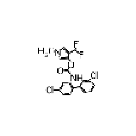 Cn1cc(OC(=O)Nc2cc(Cl)ccc2-c2cccc(Cl)c2)c(C(F)F)c1